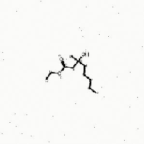 CCCCCC(C)(O)CC(=O)OCC